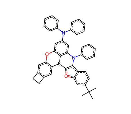 CC(C)(C)c1ccc2c3c(oc2c1)B1c2cc4c(cc2Oc2cc(N(c5ccccc5)c5ccccc5)cc(c21)N3c1ccccc1)CC4